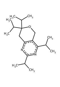 CC(C)c1nc2c(c(C(C)C)n1)COC(C(C)C)(C(C)C)C2